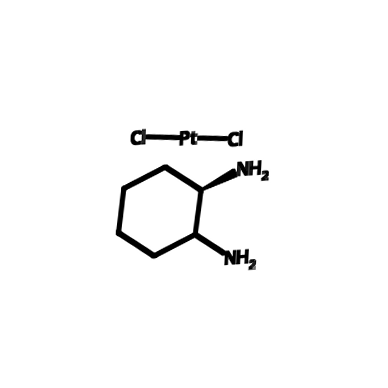 NC1CCCC[C@H]1N.[Cl][Pt][Cl]